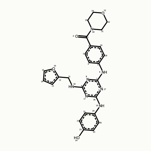 O=C(c1ccc(Nc2nc(NCc3ccco3)nc(Nc3ccc(O)cc3)n2)cc1)N1CCOCC1